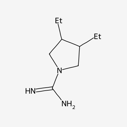 CCC1CN(C(=N)N)CC1CC